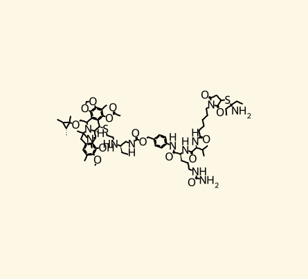 CC[C@H](CNC(=O)OCc1ccc(NC(=O)[C@H](CCCNC(N)=O)NC(=O)[C@@H](NC(=O)CCCCCN2C(=O)CC(SC(N)(CC)CC)C2=O)C(C)C)cc1)NCCS[C@@H]1c2c(OC(C)=O)c(C)c3c(c2C(COC2(C)C(C)[C@H]2C)N2[C@@H]1C1c4c(cc(C)c(OC)c4O)CC2(C)CN1C)OCO3